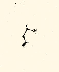 [CH2]C(O)CC=C